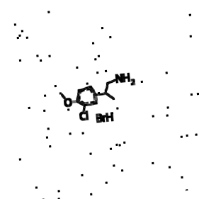 Br.COc1ccc(C(C)CN)cc1Cl